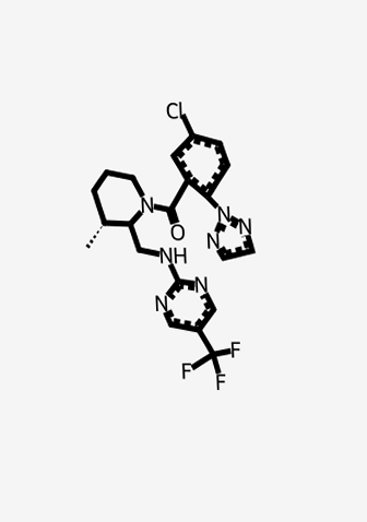 C[C@@H]1CCCN(C(=O)c2cc(Cl)ccc2-n2nccn2)C1CNc1ncc(C(F)(F)F)cn1